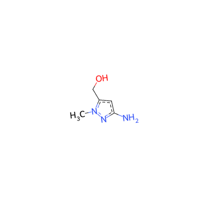 Cn1nc(N)cc1CO